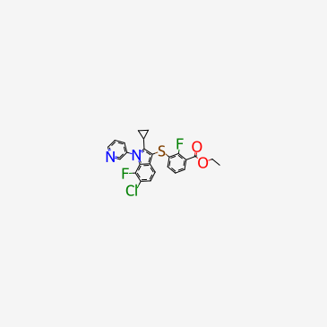 CCOC(=O)c1cccc(Sc2c(C3CC3)n(-c3cccnc3)c3c(F)c(Cl)ccc23)c1F